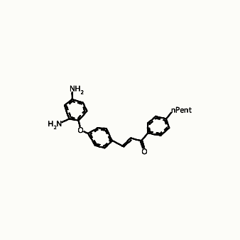 CCCCCc1ccc(C(=O)C=Cc2ccc(Oc3ccc(N)cc3N)cc2)cc1